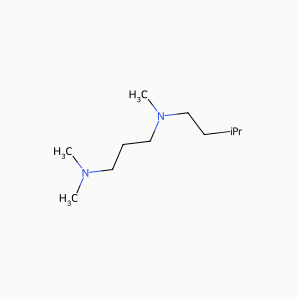 CC(C)CCN(C)CCCN(C)C